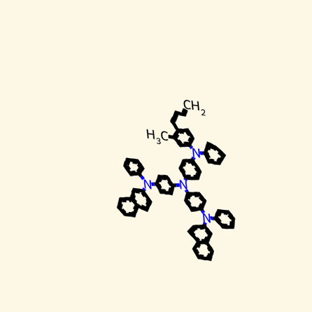 C=C/C=C\c1ccc(N(c2ccccc2)c2ccc(N(c3ccc(N(c4ccccc4)c4ccc5ccccc5c4)cc3)c3ccc(N(c4ccccc4)c4ccc5ccccc5c4)cc3)cc2)cc1C